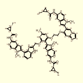 Cc1nc(OCCOc2cc3nccn3cc2-c2cc3cc(NC(=O)[C@@H]4C[C@@H]4F)ncc3n2C)c(-c2cc3cc(NC(=O)[C@@H]4C[C@@H]4F)ncc3n2C)c(OCc2nc3c(-c4cc5cc(NC(=O)[C@@H]6C[C@@H]6F)ncc5n4C)cccc3[nH]2)n1